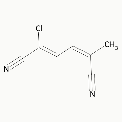 CC(C#N)=CC=C(Cl)C#N